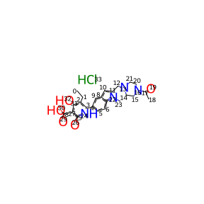 CCc1c(-c2ccc3c(c2)cc(CN2CCN(C(C)=O)CC2)n3C)[nH]c(=O)c(C(=O)O)c1O.Cl